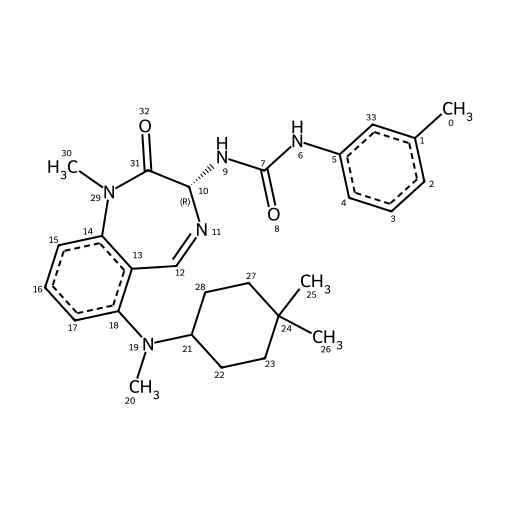 Cc1cccc(NC(=O)N[C@@H]2N=Cc3c(cccc3N(C)C3CCC(C)(C)CC3)N(C)C2=O)c1